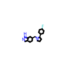 Fc1ccc(-c2cccn2Cc2ccc3cn[nH]c3c2)cc1